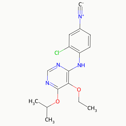 [C-]#[N+]c1ccc(Nc2ncnc(OC(C)C)c2OCC)c(Cl)c1